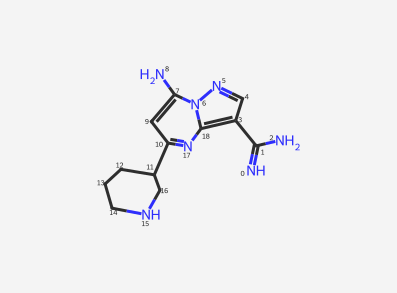 N=C(N)c1cnn2c(N)cc(C3CCCNC3)nc12